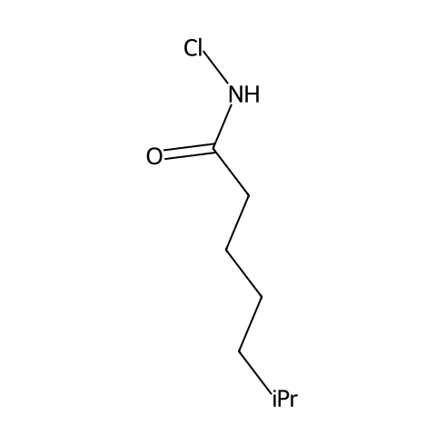 CC(C)CCCCC(=O)NCl